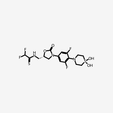 O=C1O[C@@H](CNC(=S)C(F)F)CN1c1cc(F)c(N2CCS(O)(O)CC2)c(F)c1